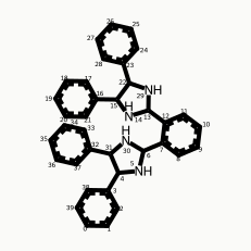 c1ccc(C2NC(c3ccccc3C3NC(c4ccccc4)C(c4ccccc4)N3)NC2c2ccccc2)cc1